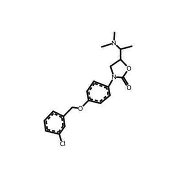 CC(C1CN(c2ccc(OCc3cccc(Cl)c3)cc2)C(=O)O1)N(C)C